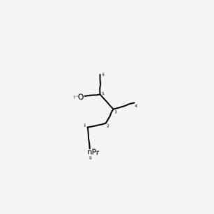 CCCCCC(C)C(C)[O]